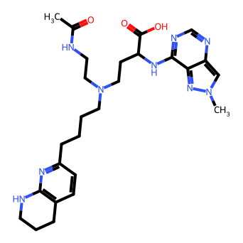 CC(=O)NCCN(CCCCc1ccc2c(n1)NCCC2)CCC(Nc1ncnc2cn(C)nc12)C(=O)O